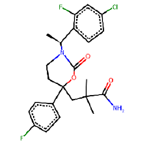 C[C@@H](c1ccc(Cl)cc1F)N1CCC(CC(C)(C)C(N)=O)(c2ccc(F)cc2)OC1=O